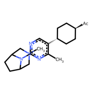 Cc1nc(N2C3CCC2CN(C)C3)ncc1[C@H]1CC[C@H](C(C)=O)CC1